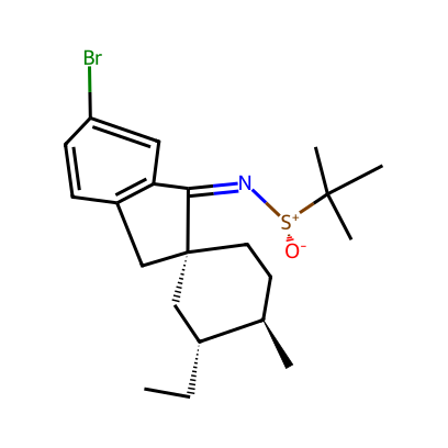 CC[C@@H]1C[C@]2(CC[C@H]1C)Cc1ccc(Br)cc1/C2=N/[S@@+]([O-])C(C)(C)C